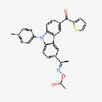 CC(=O)O/N=C(\C)c1ccc2c(c1)c1cc(C(=O)c3cccs3)ccc1n2-c1ccc(C)cc1